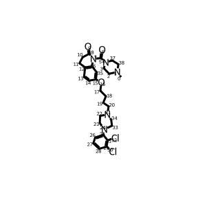 CN1CCN(C(=O)N2C(=O)CCc3ccc(OCCCCN4CCN(c5cccc(Cl)c5Cl)CC4)cc32)CC1